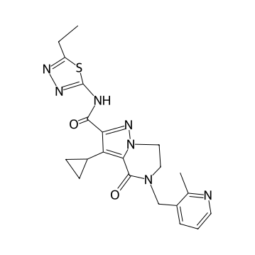 CCc1nnc(NC(=O)c2nn3c(c2C2CC2)C(=O)N(Cc2cccnc2C)CC3)s1